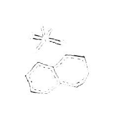 [O]=[V](=[O])(=[O])(=[O])=[O].c1ccc2ccccc2c1